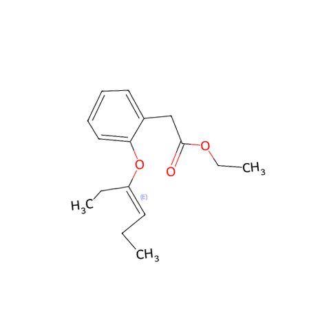 CC/C=C(\CC)Oc1ccccc1CC(=O)OCC